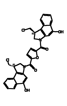 O=C(c1ccc(C(=O)N2C[C@@H](CCl)c3c2cc(O)c2ccccc32)o1)N1C[C@@H](CCl)c2c1cc(O)c1ccccc21